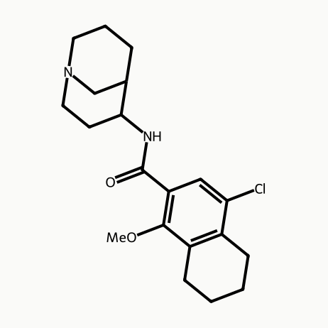 COc1c(C(=O)NC2CCN3CCCC2C3)cc(Cl)c2c1CCCC2